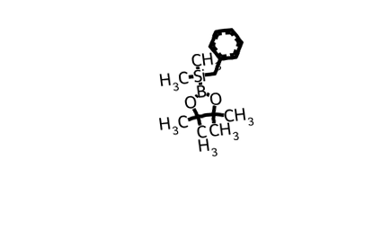 CC1(C)OB([Si](C)(C)Cc2ccccc2)OC1(C)C